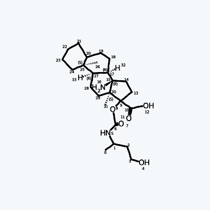 CC(CCO)NC(=O)OC1(C(=O)O)CC[C@@]2(N)[C@@H]3CCC4CCCC[C@]4(C)[C@@H]3CC[C@]12C